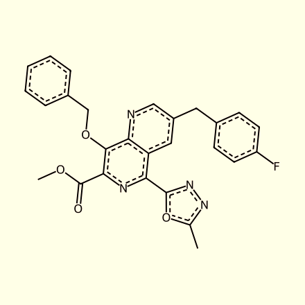 COC(=O)c1nc(-c2nnc(C)o2)c2cc(Cc3ccc(F)cc3)cnc2c1OCc1ccccc1